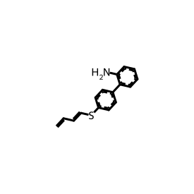 C=CC=CSc1ccc(-c2ccccc2N)cc1